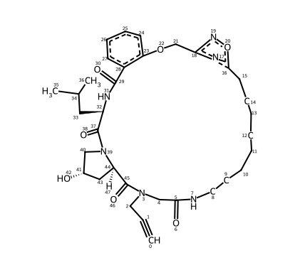 C#CCN1CC(=O)NCCCCCCCCc2nc(no2)COc2ccccc2C(=O)N[C@H](CC(C)C)C(=O)N2C[C@@H](O)C[C@@H]2C1=O